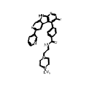 CN1CCN(CCNC(=O)c2ccc(-c3c(F)cnc4[nH]c5cnc(-c6cccnc6)cc5c34)cc2)CC1